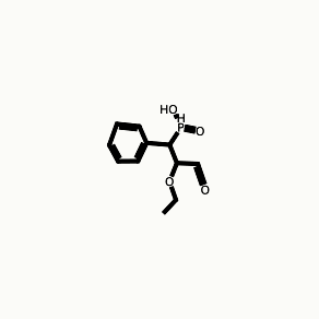 CCOC(C=O)C(c1ccccc1)[PH](=O)O